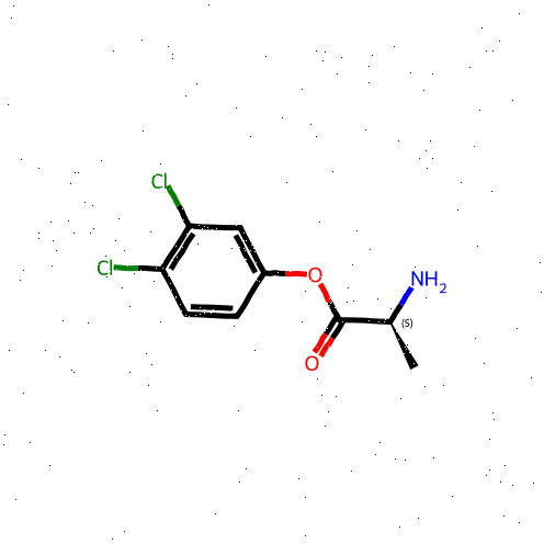 C[C@H](N)C(=O)Oc1ccc(Cl)c(Cl)c1